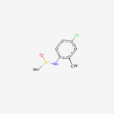 CC(C)(C)[S+]([O-])Nc1ccc(Cl)cc1C#N